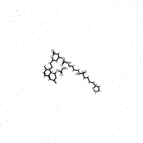 CCC(C)C(=O)OC1CC(C)C=C2C=CC(C)C(CCC3CC(OC(=O)NCCCCNC(=O)CCCCC4CCSS4)CC(=O)O3)C21